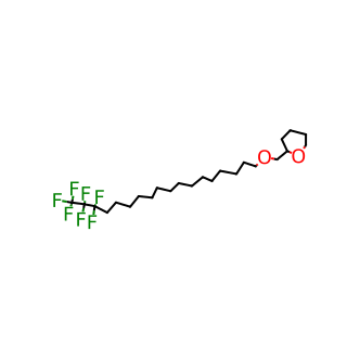 FC(F)(F)C(F)(F)C(F)(F)CCCCCCCCCCCCCCCOCC1CCCCO1